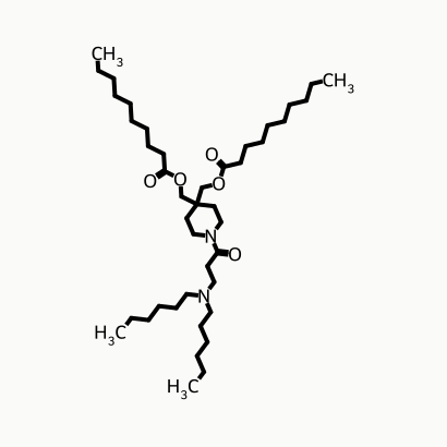 CCCCCCCCCC(=O)OCC1(COC(=O)CCCCCCCCC)CCN(C(=O)CCN(CCCCCC)CCCCCC)CC1